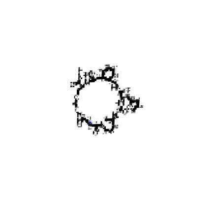 NC(=O)[C@@H]1CCCCNC(=O)/C=C/C(=O)N2CCC[C@H](CC(=O)N[C@@H](Cc3ccco3)C(=O)NCc3ccccc3CC(=O)N1)C2